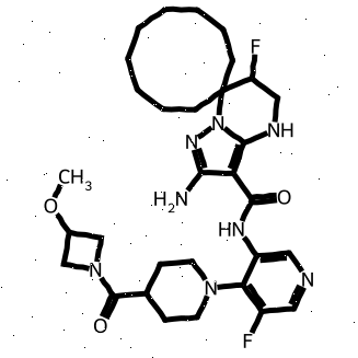 COC1CN(C(=O)C2CCN(c3c(F)cncc3NC(=O)c3c(N)nn4c3NCC(F)C43CCCCCCCCC3)CC2)C1